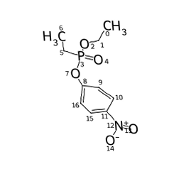 CCOP(=O)(CC)Oc1ccc([N+](=O)[O-])cc1